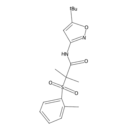 Cc1ccccc1S(=O)(=O)C(C)(C)C(=O)Nc1cc(C(C)(C)C)on1